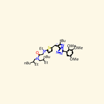 CCCCC(CC)CN(CC(CC)CCCC)C(=O)CN(CC)c1ccc(/C=c2/c(C(C)(C)C)nn3c(-c4cc(OC)cc(OC)c4OC)nnc23)s1